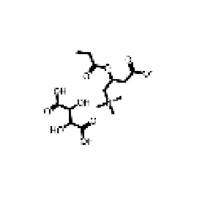 CCC(=O)OC(CC(=O)[O-])C[N+](C)(C)C.O=C(O)C(O)C(O)C(=O)O